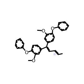 C/C=C/C=C(c1ccc(Oc2ccccc2)c(OC)c1)c1ccc(Oc2ccccc2)c(OC)c1